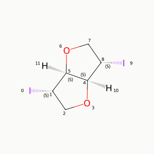 I[C@H]1CO[C@H]2[C@@H]1OC[C@@H]2I